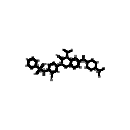 CC(C)N1C(=O)N(c2ccc(NS(=O)(=O)c3ccccc3)c(F)c2)Cc2cnc(NC3CCC(N(C)C)CC3)nc21